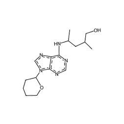 CC(CO)CC(C)Nc1ncnc2c1ncn2C1CCCCO1